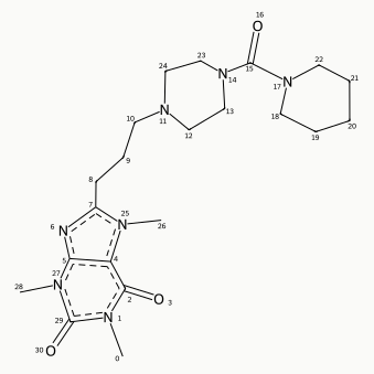 Cn1c(=O)c2c(nc(CCCN3CCN(C(=O)N4CCCCC4)CC3)n2C)n(C)c1=O